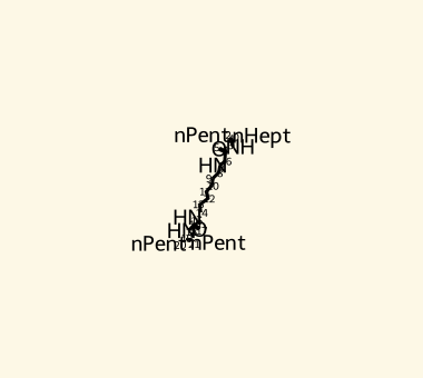 CCCCCCCC(CCCCC)NC(=O)CNCCCCCCCNC(=O)NC(CCCCC)CCCCC